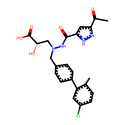 CC(=O)c1cc(C(=O)NN(Cc2ccc(-c3cc(Cl)ccc3C)cc2)C[C@H](O)C(=O)O)[nH]n1